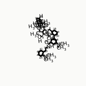 COc1c(CN2O[C@@H](CO)[C@@H]([C@H](C)O)[C@H]2C(=O)N[C@H]2C[C@H]3C[C@@H]([C@@H]2C)C3(C)C)cccc1-c1cc(C(=O)NCCc2ccccc2N(C)C)cc(N(C)C)c1